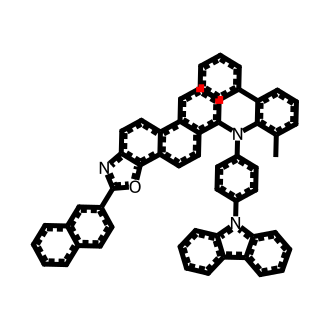 Cc1cccc(-c2ccccc2)c1N(c1ccc(-n2c3ccccc3c3ccccc32)cc1)c1cccc2c1ccc1c2ccc2nc(-c3ccc4ccccc4c3)oc21